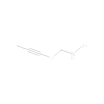 CC#COCNC(C)C